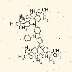 CC(C)(C)c1ccc2c(c1)C(C)(C)c1cc(C(C)(C)C)ccc1N2c1ccc2c3ccc(N4c5ccc(C(C)(C)C)cc5C(C)(C)c5cc(C(C)(C)C)ccc54)cc3n(-c3ccccc3)c2c1